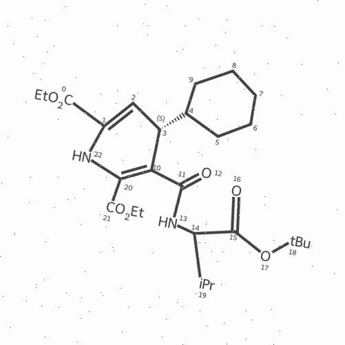 CCOC(=O)C1=C[C@H](C2CCCCC2)C(C(=O)NC(C(=O)OC(C)(C)C)C(C)C)=C(C(=O)OCC)N1